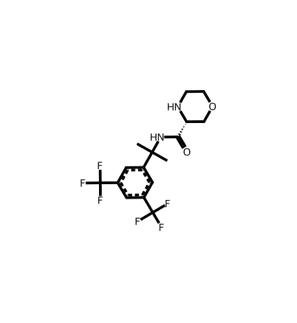 CC(C)(NC(=O)[C@H]1COCCN1)c1cc(C(F)(F)F)cc(C(F)(F)F)c1